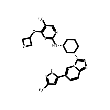 FC(F)(F)c1cc(-c2ccc3nnc([C@H]4CCC[C@@H](Nc5ncc(C(F)(F)F)c(OC6COC6)n5)C4)n3c2)[nH]n1